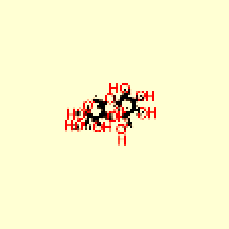 OC[C@H]1O[C@H](O[C@@H]2CO[C@](O)(CO)[C@@H](O)[C@@H]2O)[C@H](O)[C@@H](O)[C@@H]1O